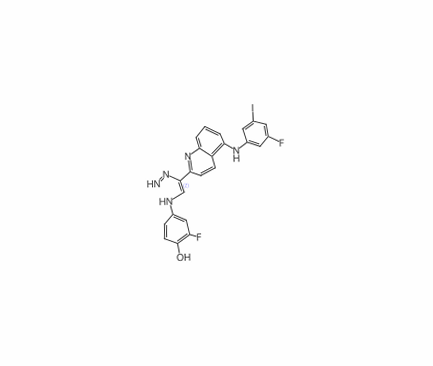 N=N/C(=C\Nc1ccc(O)c(F)c1)c1ccc2c(Nc3cc(F)cc(I)c3)cccc2n1